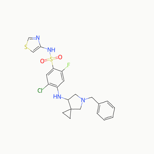 O=S(=O)(Nc1cscn1)c1cc(Cl)c(NC2CN(Cc3ccccc3)CC23CC3)cc1F